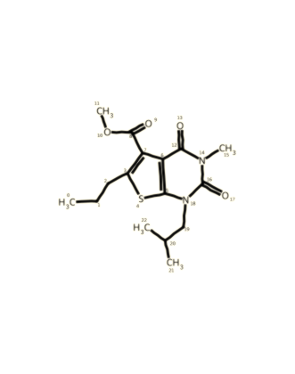 CCCc1sc2c(c1C(=O)OC)c(=O)n(C)c(=O)n2CC(C)C